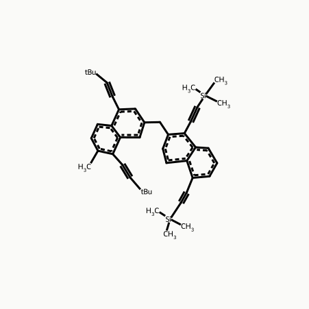 Cc1ccc2c(C#CC(C)(C)C)cc(Cc3ccc4c(C#C[Si](C)(C)C)cccc4c3C#C[Si](C)(C)C)cc2c1C#CC(C)(C)C